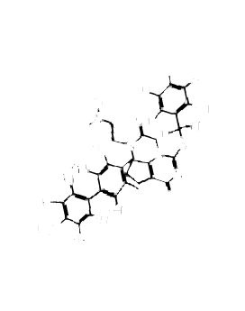 [2H]c1c([2H])c(C([2H])([2H])Sc2nc(=O)c3c(n2CC(=O)N(CCN(CC)CC)Cc2c([2H])c([2H])c(-c4c([2H])c([2H])c(C(F)(F)F)c([2H])c4[2H])c([2H])c2C)CCC3)c([2H])c([2H])c1F